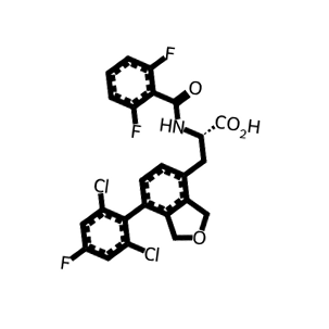 O=C(N[C@@H](Cc1ccc(-c2c(Cl)cc(F)cc2Cl)c2c1COC2)C(=O)O)c1c(F)cccc1F